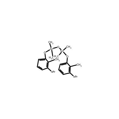 CCCc1cccc([O][Sn]([CH3])([CH3])[O][Sn]([CH3])([CH3])[O]c2cccc(CCC)c2C)c1C